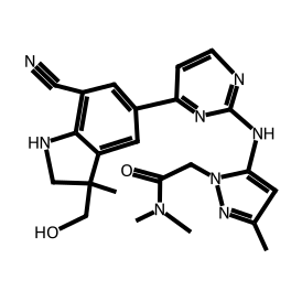 Cc1cc(Nc2nccc(-c3cc(C#N)c4c(c3)C(C)(CO)CN4)n2)n(CC(=O)N(C)C)n1